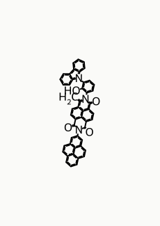 C=c1c2ccc3c4c(ccc(c(=O)n1-c1cccc(-n5c6ccccc6c6ccccc65)c1O)c42)C(=O)N(c1cc2ccc4cccc5ccc(c1)c2c45)C3=O